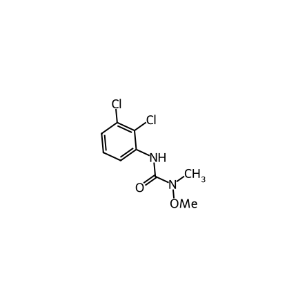 CON(C)C(=O)Nc1cccc(Cl)c1Cl